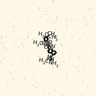 COc1ccc(C(C)(C)C)cc1S(=O)(=O)NC(=O)c1ccc2c(-c3nc(N)n(C)n3)cccc2n1